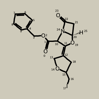 O=C(OCc1ccccc1)C1/C(=C2\COC(CI)C2)O[C@@H]2CC(=O)N12